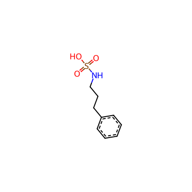 O=S(=O)(O)NCCCc1ccccc1